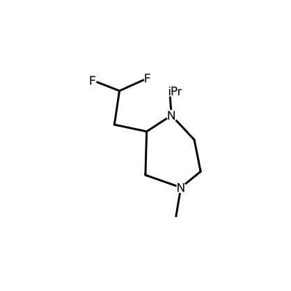 CC(C)N1CCN(C)CC1CC(F)F